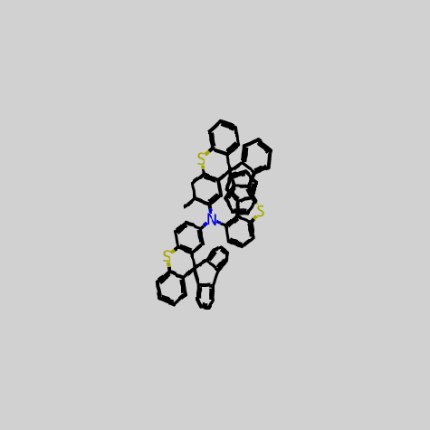 CC1CC2=C(C=C1N(c1ccc3c(c1)C1(c4ccccc4S3)c3ccccc3-c3ccccc31)c1cccc3sc4ccccc4c13)C1(c3ccccc3S2)c2ccccc2-c2ccccc21